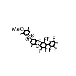 COc1c(C)cc(S(=O)(=O)c2cc(C)c(Oc3c(F)c(F)c(-c4c(F)c(F)c(C)c(F)c4F)c(F)c3F)c(C)c2)cc1C